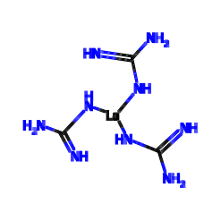 N=C(N)[NH][La]([NH]C(=N)N)[NH]C(=N)N